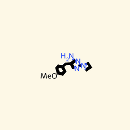 COc1ccc(Cc2cnc(N3C=CC3)nc2N)cc1